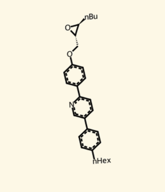 CCCCCCc1ccc(-c2ccc(-c3ccc(OC[C@@H]4O[C@H]4CCCC)cc3)nc2)cc1